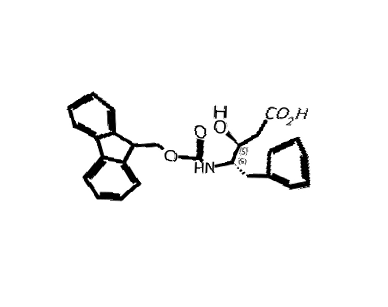 O=C(O)C[C@H](O)[C@H](Cc1ccccc1)NC(=O)OCC1c2ccccc2-c2ccccc21